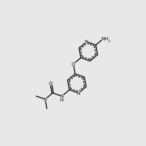 CN(C)C(=O)Nc1cc(Oc2ccc(N)nc2)ccn1